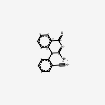 N#Cc1ccccc1C1C(N)=NC(=O)c2ccccc21